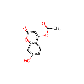 CC(=O)Oc1cc(=O)oc2cc(O)ccc12